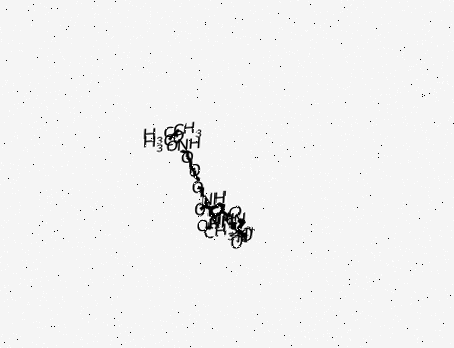 CC(=O)Nc1cc(C(=O)NCCOCCOCCOCCNC(=O)OC(C)(C)C)ccc1C(=O)Nc1ncc([N+](=O)[O-])s1